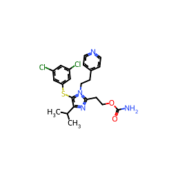 CC(C)c1nc(CCOC(N)=O)n(CCc2ccncc2)c1Sc1cc(Cl)cc(Cl)c1